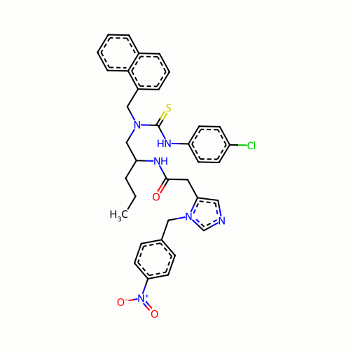 CCCC(CN(Cc1cccc2ccccc12)C(=S)Nc1ccc(Cl)cc1)NC(=O)Cc1cncn1Cc1ccc([N+](=O)[O-])cc1